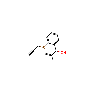 C#CCSc1ccccc1C(O)C(=C)C